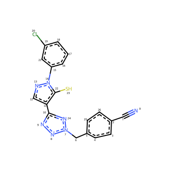 N#Cc1ccc(Cn2nnc(-c3cnn(-c4cccc(Cl)c4)c3S)n2)cc1